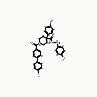 O=C(c1ccc(-c2ccc(F)cc2)cc1)N1CCC(C(=O)NNc2ccc(Cl)cc2)(c2ccc(F)cc2)CC1